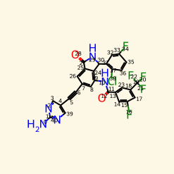 Nc1ncc(C#Cc2cc(NC(=O)c3cc(F)cc(C(F)(F)F)c3)c3c(c2)C(=O)NC3c2cc(F)ccc2Cl)cn1